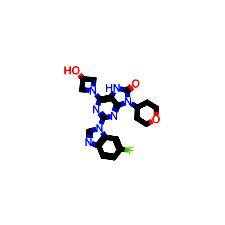 O=c1[nH]c2c(N3CC(O)C3)nc(-n3cnc4ccc(F)cc43)nc2n1C1CCOCC1